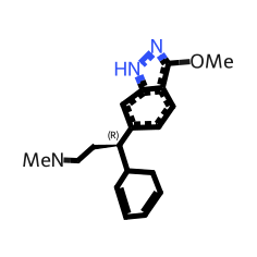 CNCC[C@@H](c1ccc2c(OC)n[nH]c2c1)C1C=CC=CC1